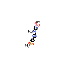 CC(C)OC(=O)N1CCC(N(C)Cc2cnc(-c3ccc(S(C)(=O)=O)cc3F)cn2)CC1